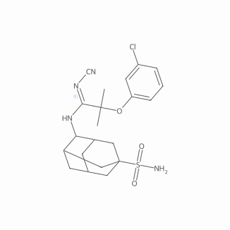 CC(C)(Oc1cccc(Cl)c1)/C(=N\C#N)NC1C2CC3CC1CC(S(N)(=O)=O)(C3)C2